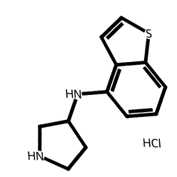 Cl.c1cc(NC2CCNC2)c2ccsc2c1